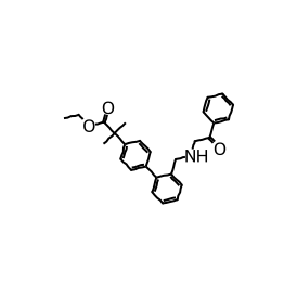 CCOC(=O)C(C)(C)c1ccc(-c2ccccc2CNCC(=O)c2ccccc2)cc1